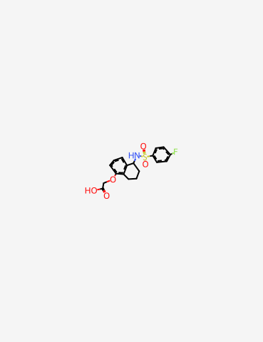 O=C(O)COc1cccc2c1CCCC2NS(=O)(=O)c1ccc(F)cc1